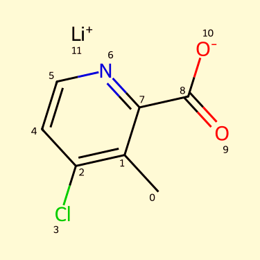 Cc1c(Cl)ccnc1C(=O)[O-].[Li+]